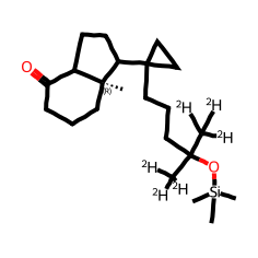 [2H]C([2H])([2H])C(CCCC1(C2CCC3C(=O)CCC[C@@]32C)CC1)(O[Si](C)(C)C)C([2H])([2H])[2H]